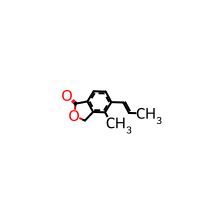 CC=Cc1ccc2c(c1C)COC2=O